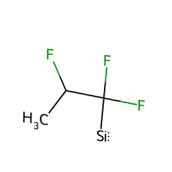 CC(F)C(F)(F)[Si]